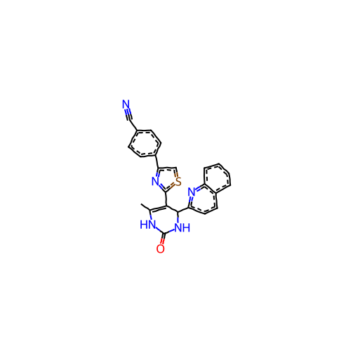 CC1=C(c2nc(-c3ccc(C#N)cc3)cs2)C(c2ccc3ccccc3n2)NC(=O)N1